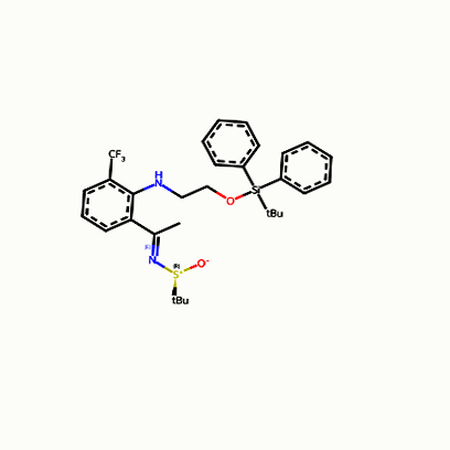 C/C(=N\[S@@+]([O-])C(C)(C)C)c1cccc(C(F)(F)F)c1NCCO[Si](c1ccccc1)(c1ccccc1)C(C)(C)C